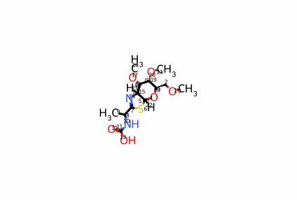 COC[C@H]1O[C@@H]2SC(C(C)NC(=O)O)=N[C@@H]2[C@@H](OC)[C@@H]1OC